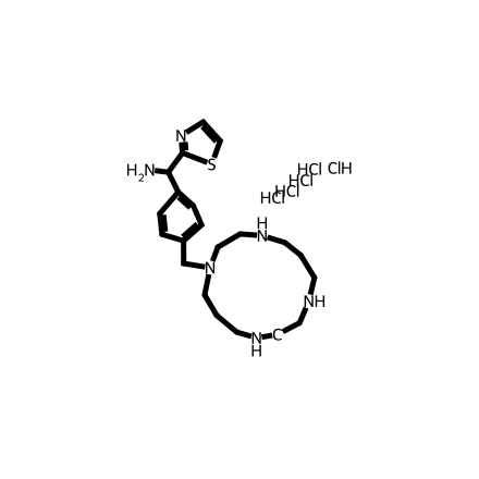 Cl.Cl.Cl.Cl.Cl.NC(c1ccc(CN2CCCNCCNCCCNCC2)cc1)c1nccs1